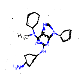 CN(c1nc(NC2CCC(N)CC2)nc2c1ncn2C1CCCC1)C1CCCCC1